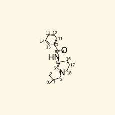 CC(C)CN1C=C(NC(=O)c2ccccc2)[CH]CC1